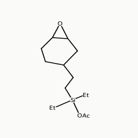 CC[Si](CC)(CCC1CCC2OC2C1)OC(C)=O